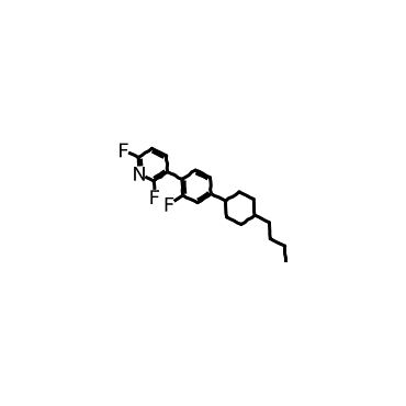 CCCCC1CCC(c2ccc(-c3ccc(F)nc3F)c(F)c2)CC1